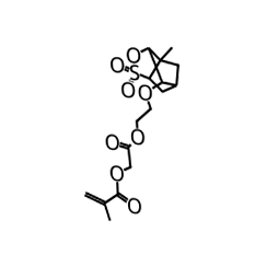 C=C(C)C(=O)OCC(=O)OCCOC1C2CC3C(C)(C2)C1OS3(=O)=O